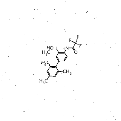 CO.Cc1cc(C)c(-c2ccc(NC(=O)C(F)(F)F)c(I)c2)c(C)c1